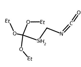 CCOC(OCC)(OCC)[SiH2]CN=C=O